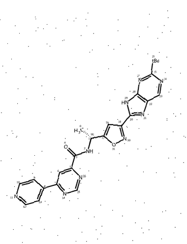 C[C@@H](NC(=O)c1cc(-c2ccncc2)ncn1)c1cc(-c2nc3cnc(C(C)(C)C)nc3[nH]2)no1